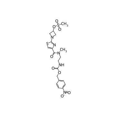 CN(CCNC(=O)OCc1ccc([N+](=O)[O-])cc1)C(=O)c1csc(N2CC(OS(C)(=O)=O)C2)n1